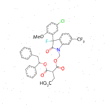 COc1ccc(Cl)cc1C1(F)C(=O)N(COC(=O)C(CC(=O)O)C(=O)OC(Cc2ccccc2)c2ccccc2)c2cc(C(F)(F)F)ccc21